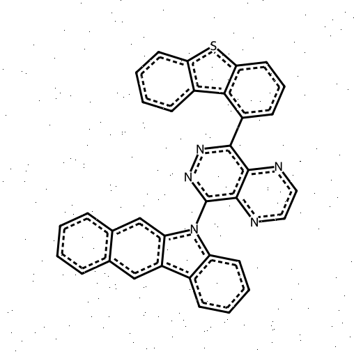 c1ccc2cc3c(cc2c1)c1ccccc1n3-c1nnc(-c2cccc3sc4ccccc4c23)c2nccnc12